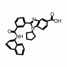 O=C(O)c1ccc2c(c1)nc(-c1cccc(C(=O)Nc3cccc4ccccc34)c1)n2C1CCCC1